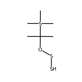 CC(C)(OSS)S(C)(C)C